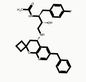 CC(=O)N[C@@H](Cc1ccc(F)cc1)[C@H](O)CN[C@H]1CC2(CCC2)Oc2ncc(Cc3ccccc3)cc21